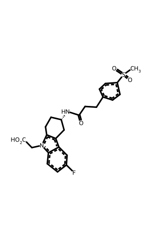 CS(=O)(=O)c1ccc(CCC(=O)N[C@H]2CCc3c(c4cc(F)ccc4n3CC(=O)O)C2)cc1